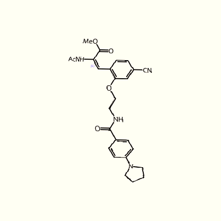 COC(=O)/C(=C\c1ccc(C#N)cc1OCCNC(=O)c1ccc(N2CCCC2)cc1)NC(C)=O